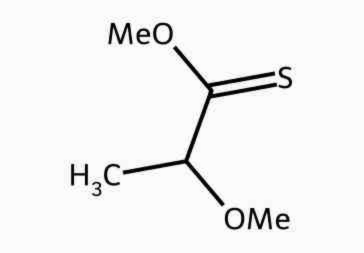 COC(=S)C(C)OC